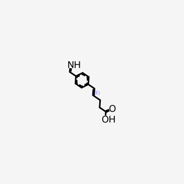 N=Cc1ccc(/C=C/CCC(=O)O)cc1